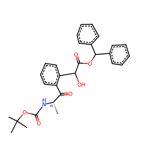 C[C@H](NC(=O)OC(C)(C)C)C(=O)c1ccccc1C(O)C(=O)OC(c1ccccc1)c1ccccc1